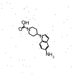 Nc1ccc2c(ccn2C2CCN(C(=O)O)CC2)c1